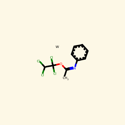 CC(=Nc1ccccc1)OC(Cl)(Cl)C(Cl)Cl.[W]